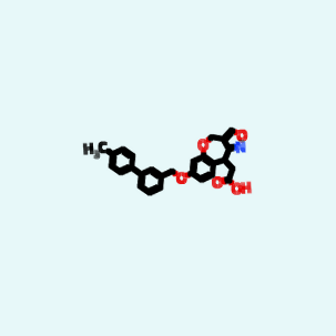 Cc1ccc(-c2cccc(COc3ccc4c(c3)OCc3conc3C4CC(=O)O)c2)cc1